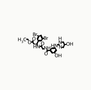 CCOC(=O)C[C@H](NC(=O)CNC(=O)c1cc(O)cc(NC2=NCC(O)CN2)c1)c1cc(Br)cc(Br)c1